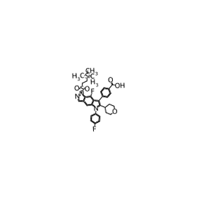 C[Si](C)(C)CCS(=O)(=O)n1ncc2cc3c(c(-c4ccc(C(=O)O)cc4)c(C4CCOCC4)n3-c3ccc(F)cc3)c(F)c21